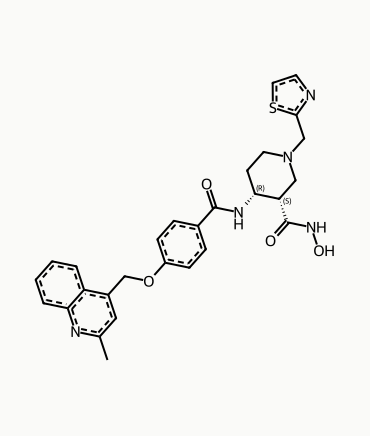 Cc1cc(COc2ccc(C(=O)N[C@@H]3CCN(Cc4nccs4)C[C@@H]3C(=O)NO)cc2)c2ccccc2n1